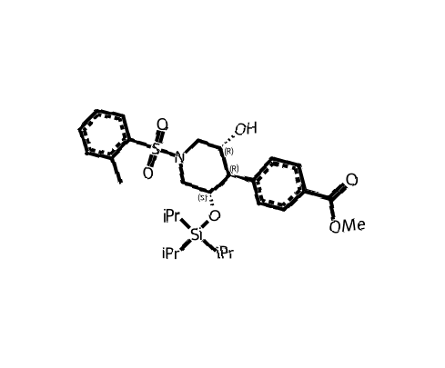 COC(=O)c1ccc([C@@H]2[C@@H](O)CN(S(=O)(=O)c3ccccc3C)C[C@H]2O[Si](C(C)C)(C(C)C)C(C)C)cc1